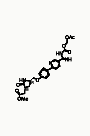 COC(=O)C[C@@H]1C[C@@H](COc2ccc(-c3ccc(C(=N)NC(=O)OCOC(C)=O)cn3)cc2)NC1=O